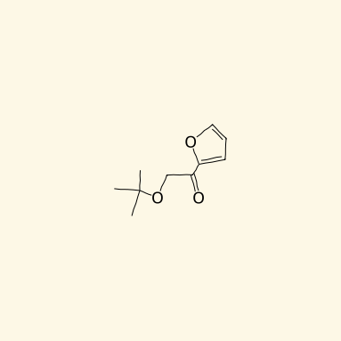 CC(C)(C)OCC(=O)c1ccco1